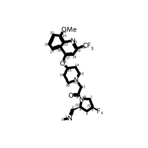 CN=C[C@@H]1C[C@H](F)CN1C(=O)CN1CCC(Oc2cc(C(F)(F)F)nc3c(OC)cccc23)CC1